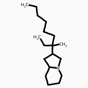 CCCCCCC(C)(CC)C1CC2CCCCN2C1